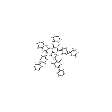 Cc1cc(-c2ccccc2)cc(C)c1-c1cc2c3c(c1)N(c1ccc(-c4ccccc4)cc1)c1cc4ccccc4cc1B3c1cc3ccccc3cc1N2c1ccc(-c2ccccc2)cc1